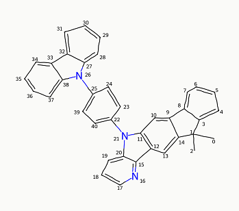 CC1(C)c2ccccc2-c2cc3c(cc21)c1ncccc1n3-c1ccc(-n2c3ccccc3c3ccccc32)cc1